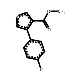 COC(=O)c1cscc1-c1ccc(Cl)cc1